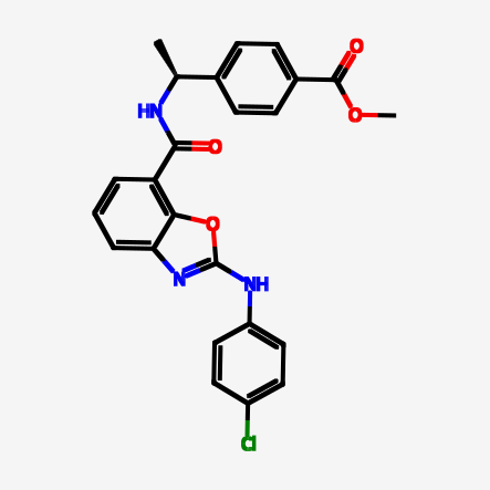 COC(=O)c1ccc([C@H](C)NC(=O)c2cccc3nc(Nc4ccc(Cl)cc4)oc23)cc1